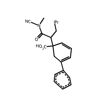 CC(C)CC(C(=O)N(C)C#N)C1(C(=O)O)C=CC=C(c2ccccc2)C1